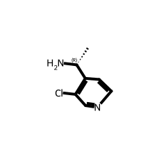 C[C@@H](N)c1ccncc1Cl